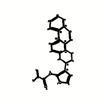 C=C(C)C(=O)Oc1occc1C1CCc2c(ccc3c2ccc2ccccc23)C1